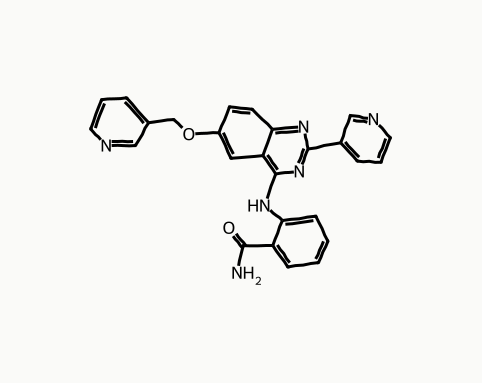 NC(=O)c1ccccc1Nc1nc(-c2cccnc2)nc2ccc(OCc3cccnc3)cc12